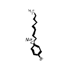 [B]c1ccc(OCCCCCCCC)cc1.[Na]